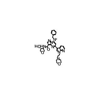 CN(Cc1ccccc1)c1cc(-c2cn(CCN3CCOCC3)c3ncccc23)nc2c(C(=O)NC3COC[C@H]3O)cnn12